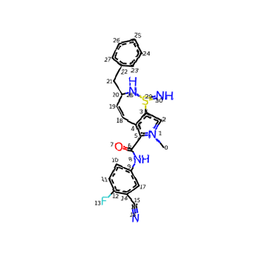 Cn1cc2c(c1C(=O)Nc1ccc(F)c(C#N)c1)C=CC(Cc1ccccc1)NS2=N